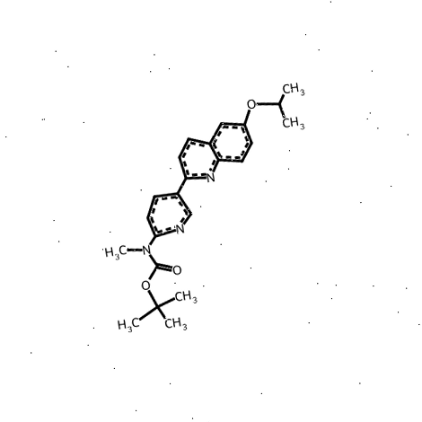 CC(C)Oc1ccc2nc(-c3ccc(N(C)C(=O)OC(C)(C)C)nc3)ccc2c1